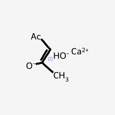 CC(=O)/C=C(/C)[O-].[Ca+2].[OH-]